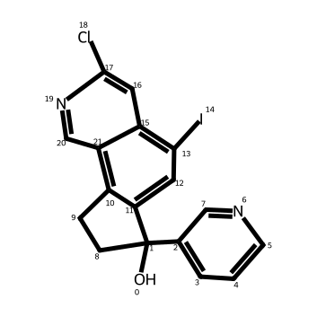 OC1(c2cccnc2)CCc2c1cc(I)c1cc(Cl)ncc21